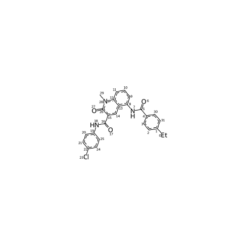 CCc1ccc(C(=O)Nc2cccc3c2cc(C(=O)Nc2ccc(Cl)cc2)c(=O)n3C)cc1